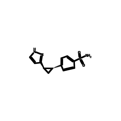 NS(=O)(=O)c1ccc([C@@H]2C[C@H]2c2cc[nH]n2)cc1